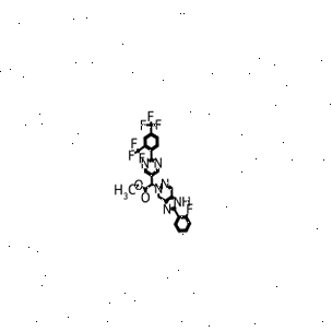 COC(=O)C(c1cnc(-c2ccc(C(F)(F)F)cc2C(F)(F)F)nc1)N1Cc2nc(-c3ccccc3F)[nH]c2C=N1